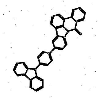 O=c1c2ccccc2c2cccc3c4cc(-c5ccc(-n6c7ccccc7c7ccccc76)cc5)ccc4n1c23